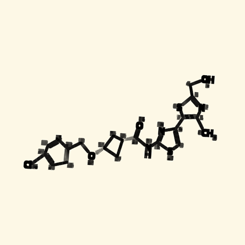 Cc1nc(CO)sc1-c1csc(NC(=O)[C@H]2C[C@@H](OCc3ccc(Cl)cc3)C2)n1